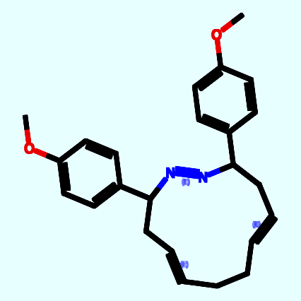 COc1ccc(C2C/C=C/CC/C=C/CC(c3ccc(OC)cc3)/N=N/2)cc1